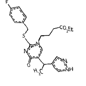 CCOC(=O)CCCn1cc(C(C)c2cn[nH]c2)c(=O)nc1SCc1ccc(F)cc1